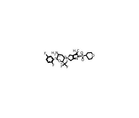 Cc1c2c(nn1S(=O)(=O)C1CCOCC1)CN([C@@H]1C[C@H](N)[C@@H](c3cc(F)ccc3F)O[C@@H]1C(F)(F)F)C2